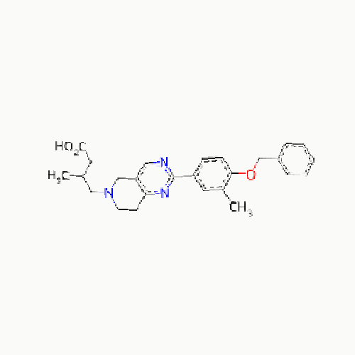 Cc1cc(-c2ncc3c(n2)CCN(CC(C)CC(=O)O)C3)ccc1OCc1ccccc1